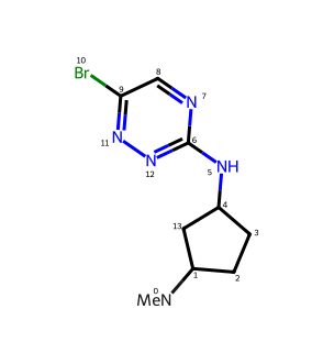 CNC1CCC(Nc2ncc(Br)nn2)C1